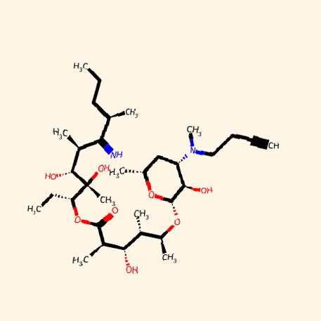 C#CCCN(C)[C@H]1C[C@@H](C)O[C@@H](O[C@@H](C)[C@@H](C)[C@H](O)[C@@H](C)C(=O)O[C@H](CC)[C@@](C)(O)[C@H](O)[C@@H](C)C(=N)[C@H](C)CCC)[C@@H]1O